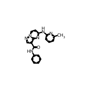 Cc1cccc(Nc2ccn3ncc(C(=O)Nc4ccccc4)c3n2)n1